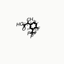 CC(C(=O)O)c1ccc(F)c(C(F)(F)F)c1